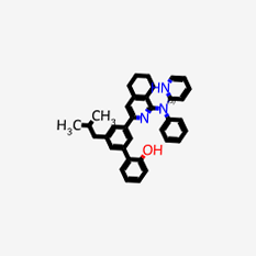 CC(C)Cc1cc(-c2cc3c(c(N(c4ccccc4)[C@H]4C=CC=CN4)n2)CCCC3)cc(-c2ccccc2O)c1